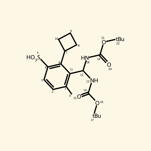 Cc1ccc(S(=O)(=O)O)c(C2CCC2)c1C(NC(=O)OC(C)(C)C)NC(=O)OC(C)(C)C